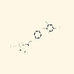 CCOP(=O)(NC(=O)COc1ccc(Oc2ncc(C(F)(F)F)cc2Cl)cc1)OCC